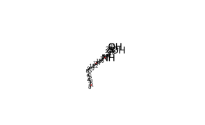 CCCCCCCC/C=C\CCCCCCCCNCCc1ccc(O)c(O)c1